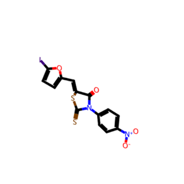 O=C1/C(=C/c2ccc(I)o2)SC(=S)N1c1ccc([N+](=O)[O-])cc1